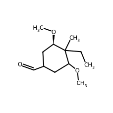 CCC1(C)C(OC)CC(C=O)C[C@H]1OC